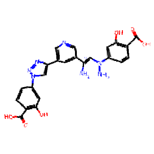 N/C(=C\N(N)c1ccc(C(=O)O)c(O)c1)c1cncc(-c2cn(-c3ccc(C(=O)O)c(O)c3)nn2)c1